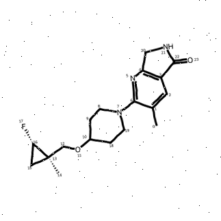 Cc1cc2c(nc1N1CCC(OC[C@@]3(C)C[C@@H]3F)CC1)CNC2=O